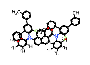 [2H]c1c([2H])c([2H])c(N(c2c(F)cc(-c3cccc(C)c3)cc2-c2ccccc2)c2ccc3ccc4c(N(c5c(F)cc(-c6cccc(C)c6)cc5-c5cccc(C)c5)c5c([2H])c([2H])c([2H])c([2H])c5[2H])ccc5ccc2c3c54)c([2H])c1[2H]